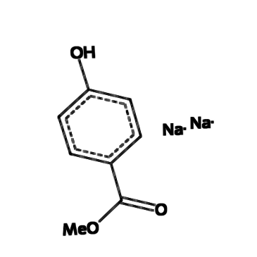 COC(=O)c1ccc(O)cc1.[Na].[Na]